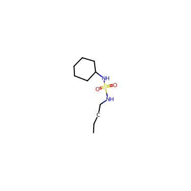 CCCCNS(=O)(=O)NC1CCCCC1